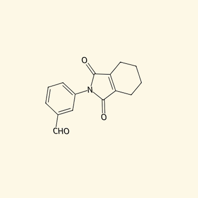 O=Cc1cccc(N2C(=O)C3=C(CCCC3)C2=O)c1